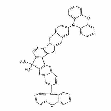 CC1(C)c2cc3cc(N4c5ccccc5Oc5ccccc54)ccc3cc2-c2c1ccc1c2sc2cc3cc(N4c5ccccc5Oc5ccccc54)ccc3cc21